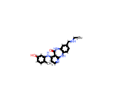 CCC(C)CNCc1ccc2c(c1)NC(=O)c1c(Nc3cc(O)ccc3C)ccnc1N2